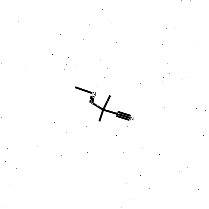 C/N=C/C(C)(C)C#N